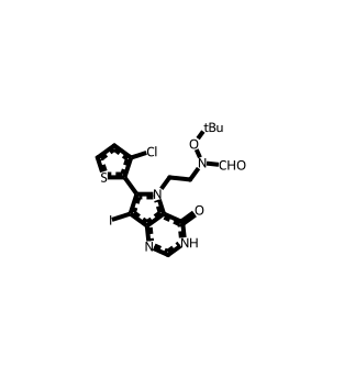 CC(C)(C)ON(C=O)CCn1c(-c2sccc2Cl)c(I)c2nc[nH]c(=O)c21